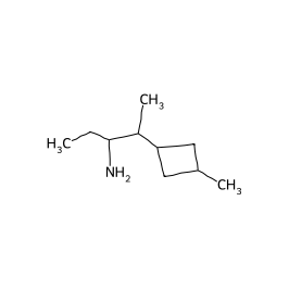 CCC(N)C(C)C1CC(C)C1